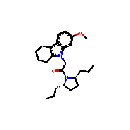 CCC[C@H]1CC[C@H](CCC)N1C(=O)Cn1c2c(c3ccc(OC)cc31)CCCC2